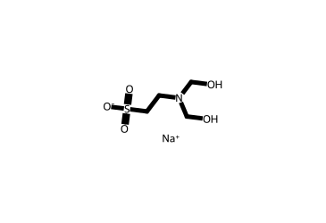 O=S(=O)([O-])CCN(CO)CO.[Na+]